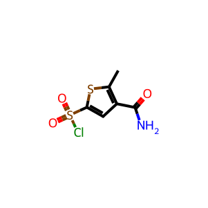 Cc1sc(S(=O)(=O)Cl)cc1C(N)=O